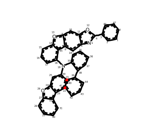 c1ccc(-c2nc3cc4c(cc3o2)oc2cccc(N(c3ccc5c(c3)oc3ccccc35)c3ccccc3-c3ccccc3)c24)cc1